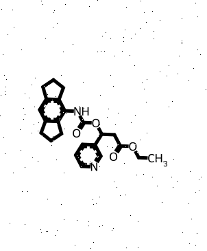 CCOC(=O)CC(OC(=O)Nc1c2c(cc3c1CCC3)CCC2)c1cccnc1